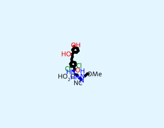 COCCN/C(=N/C#N)NCC(NC(=O)c1c(Cl)cc(CCC(O)c2cccc(O)c2)cc1Cl)C(=O)O